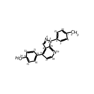 Cc1ccc(-n2ncc3c(-c4ccc(O)cc4)ccnc32)cc1